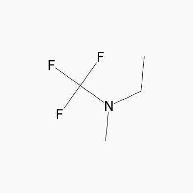 CCN(C)C(F)(F)F